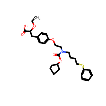 CCOC(Cc1ccc(OCCN(CCCCSc2ccccc2)C(=O)OC2CCCC2)cc1)C(=O)O